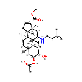 COC(=O)[C@H]1CC[C@H]2[C@@H]3CC[C@H]4C[C@H](OC(C)=O)[C@@H](O)C[C@]4(C)[C@H]3[C@H](NCCC(C)C)C[C@]12C